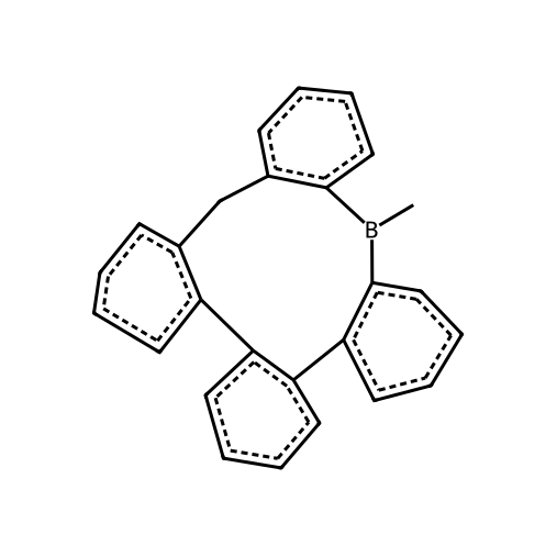 CB1c2ccccc2Cc2ccccc2-c2ccccc2-c2ccccc21